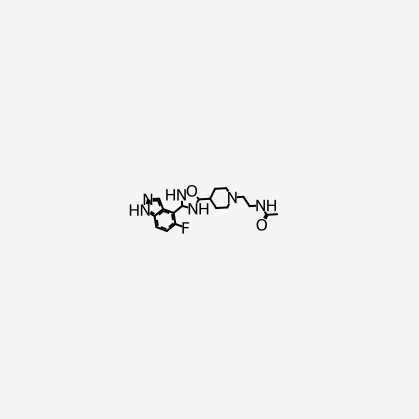 CC(=O)NCCN1CCC(C2NC(c3c(F)ccc4[nH]ncc34)NO2)CC1